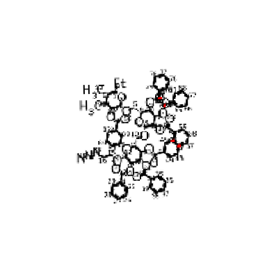 CC[C@H]1O[C@@H](OC[C@H]2O[C@@H](OC[C@H]3O[C@@H](OCCN=[N+]=[N-])[C@H](OC(=O)c4ccccc4)[C@@H](OC(=O)c4ccccc4)[C@@H]3OC(=O)c3ccccc3)[C@H](OC(=O)c3ccccc3)[C@@H](OC(=O)c3ccccc3)[C@@H]2OC(=O)c2ccccc2)[C@H](OC(=O)c2ccccc2)[C@@H](C)[C@@H]1C